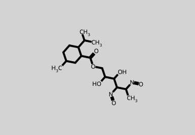 CC1CCC(C(C)C)C(C(=O)OCC(O)C(O)C(N=O)C(C)N=O)C1